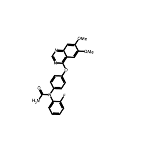 COc1cc2ncnc(Oc3ccc(N(C(N)=O)c4ccccc4F)cc3)c2cc1OC